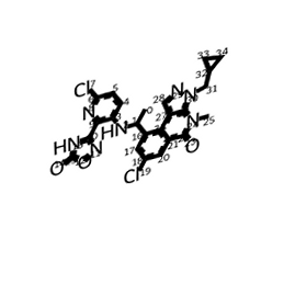 CC(Nc1ccc(Cl)nc1-c1noc(=O)[nH]1)c1cc(Cl)cc2c(=O)n(C)c3c(cnn3CC3CC3)c12